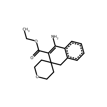 CCOC(=O)C1=C(N)c2ccccc2CC12CCOCC2